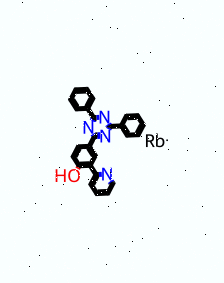 Oc1ccc(-c2nc(-c3ccccc3)nc(-c3ccccc3)n2)cc1-c1ccccn1.[Rb]